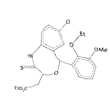 CCOC(=O)CC1OC(c2cccc(OC)c2OCC)c2cc(Cl)ccc2NC1=S